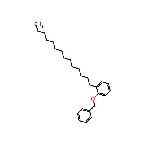 CCCCCCCCCCCCCCc1ccccc1OCc1ccccc1